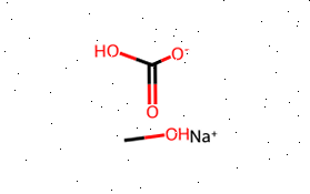 CO.O=C([O-])O.[Na+]